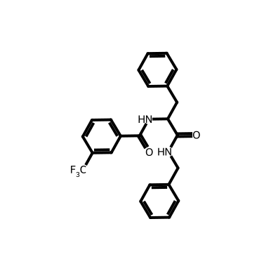 O=C(NC(Cc1ccccc1)C(=O)NCc1ccccc1)c1cccc(C(F)(F)F)c1